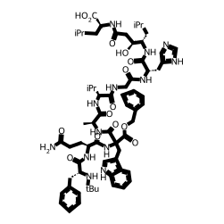 CC(C)C[C@H](NC(=O)C[C@H](O)[C@H](CC(C)C)NC(=O)[C@H](Cc1cnc[nH]1)NC(=O)CNC(=O)[C@@H](NC(=O)[C@H](C)NC(=O)C(Cc1c[nH]c2ccccc12)(NC(=O)[C@H](CCC(N)=O)NC(=O)[C@@H](Cc1ccccc1)NC(C)(C)C)C(=O)OCc1ccccc1)C(C)C)C(=O)O